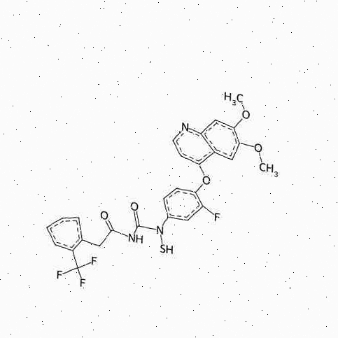 COc1cc2nccc(Oc3ccc(N(S)C(=O)NC(=O)Cc4ccccc4C(F)(F)F)cc3F)c2cc1OC